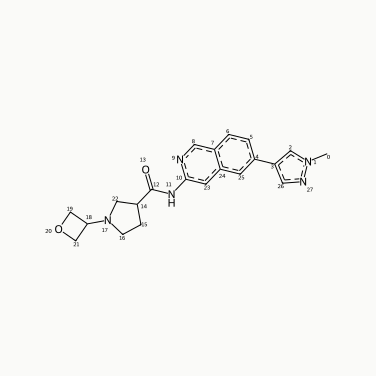 Cn1cc(-c2ccc3cnc(NC(=O)C4CCN(C5COC5)C4)cc3c2)cn1